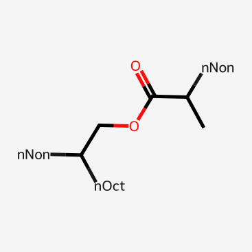 CCCCCCCCCC(CCCCCCCC)COC(=O)C(C)CCCCCCCCC